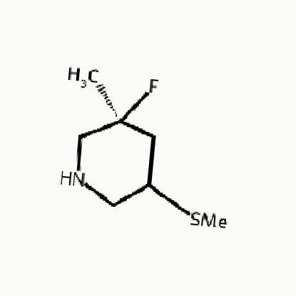 CSC1CNC[C@@](C)(F)C1